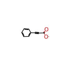 [O]C(=O)C#Cc1ccccc1